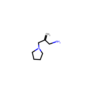 C=C(CN)CN1CCCC1